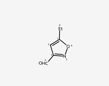 CCc1cc([C]=O)no1